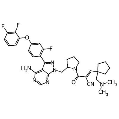 CN(C)CC1(C=C(C#N)C(=O)N2CCCC2Cn2nc(-c3ccc(Oc4cccc(F)c4F)cc3F)c3c(N)ncnc32)CCCC1